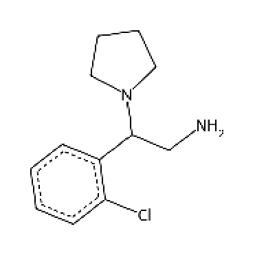 NCC(c1ccccc1Cl)N1CCCC1